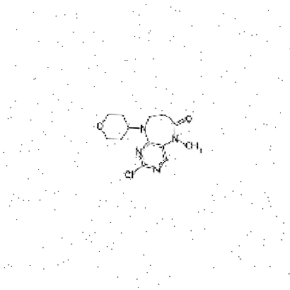 CN1C(=O)CCN(C2CCOCC2)c2nc(Cl)ncc21